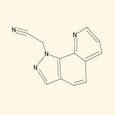 N#CCn1ncc2ccc3cccnc3c21